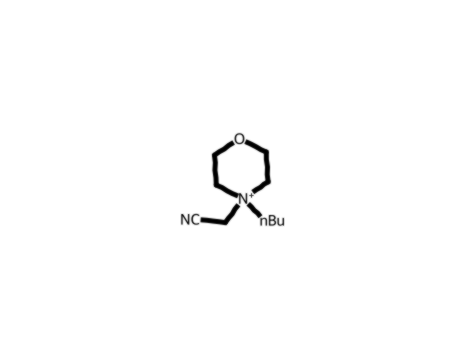 CCCC[N+]1(CC#N)CCOCC1